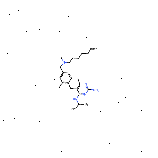 CCCCCCCCCCCCCCCN(C)Cc1ccc(Cc2c(C)nc(N)nc2NC(CCC)CCC)c(C)c1